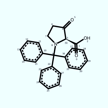 O=C(O)[C@@H]1C(=O)CCN1C(c1ccccc1)(c1ccccc1)c1ccccc1